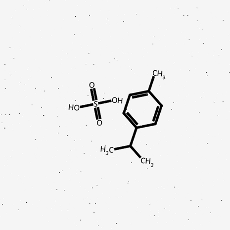 Cc1ccc(C(C)C)cc1.O=S(=O)(O)O